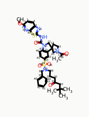 COc1ccc2nc(NC(=O)N3CC4(CCN(C(C)=O)C4)c4cc(S(=O)(=O)N(CCCC(=O)CC(C)(C)C)Cc5ccccc5)ccc43)sc2n1